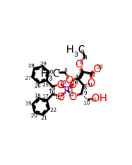 CCOC1=C(OCC)[C@@H]([C@H](CO)OP(=O)(OCc2ccccc2)OCc2ccccc2)OC1=O